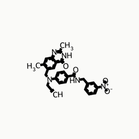 C#CCN(Cc1cc2c(=O)[nH]c(C)nc2cc1C)c1ccc(C(=O)NCc2cccc([N+](=O)[O-])c2)cc1